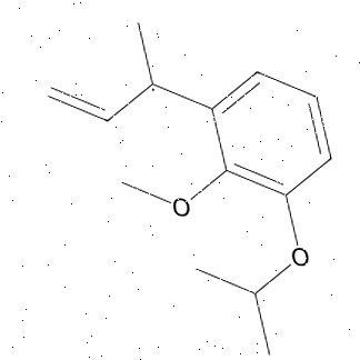 C=C[C](C)c1cccc(OC(C)C)c1OC